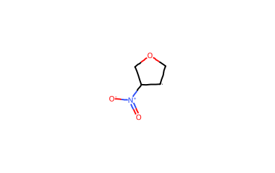 O=[N+]([O-])C1[CH]COC1